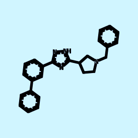 c1ccc(CN2CCC(c3nc(-c4cccc(-c5ccccc5)c4)n[nH]3)C2)cc1